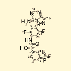 Cc1nn(-c2cc(F)c(NC(=O)[C@H](O)c3cccc(C(F)(F)F)c3)cc2F)c2c(N)ncnc12